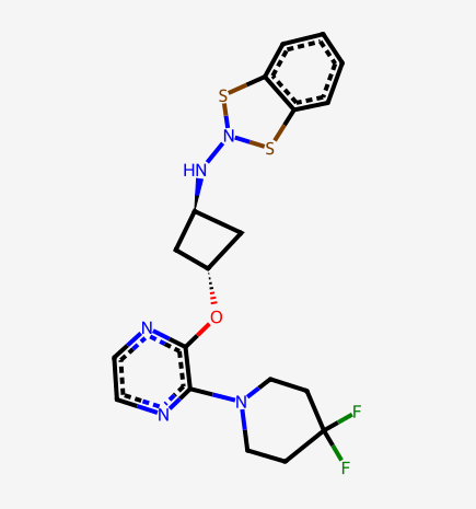 FC1(F)CCN(c2nccnc2O[C@H]2C[C@H](NN3Sc4ccccc4S3)C2)CC1